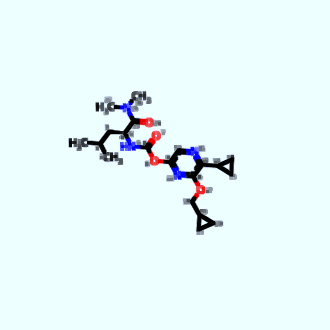 CC(C)C[C@H](NC(=O)Oc1cnc(C2CC2)c(OCC2CC2)n1)C(=O)N(C)C